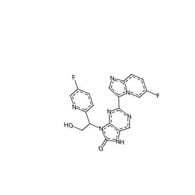 O=c1[nH]c2cnc(-c3cnc4ccc(F)cn34)nc2n1C(CO)c1ccc(F)cn1